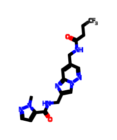 Cn1nccc1C(=O)NCc1cn2ncc(CNC(=O)CCC(F)(F)F)cc2n1